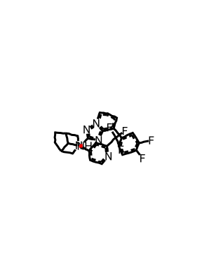 Fc1ccc(-c2cccn3nc(NC4C5CCC4CN(c4ccnc(C(F)(F)F)c4)C5)nc23)cc1F